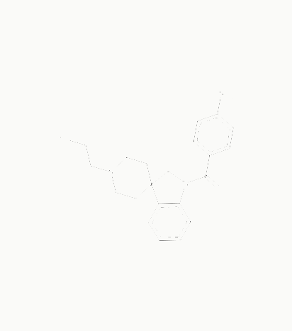 CC(=O)CCN1CCC2(CC1)CN(C(=O)c1ccc([N+](=O)[O-])cc1)c1ccccc12